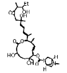 CCC(O)C(C)C1OC1CC(C)(O)/C=C/C=C(\C)C1OC(=O)CC(O)CCC(C)(O)C(OC(=O)N2C[C@@H]3C[C@H]2CN3C)/C=C/C1C